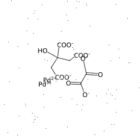 O=C([O-])C(=O)[O-].O=C([O-])CC(O)(CC(=O)[O-])C(=O)[O-].[Pd+2].[Pd+3]